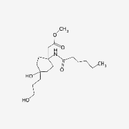 CCCCCC(=O)NC1(CC(=O)OC)CCC(O)(CCCO)CC1